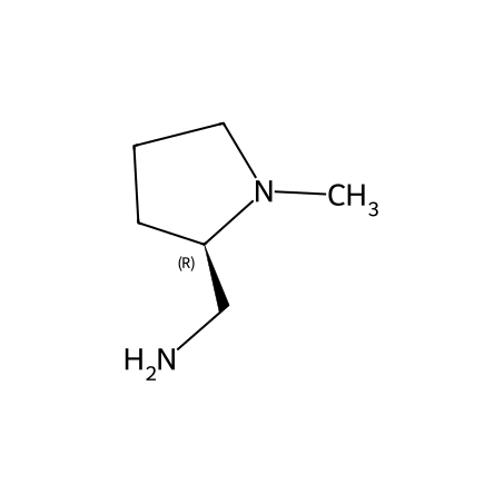 CN1CCC[C@@H]1CN